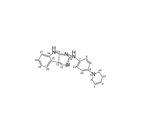 C1=CCN(c2ccc(Nc3ncc4c(n3)[nH]c3ccccc34)cc2)CC1